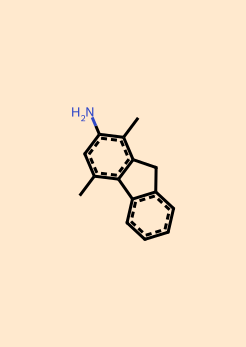 Cc1cc(N)c(C)c2c1-c1ccccc1C2